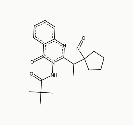 CC(c1nc2ccccc2c(=O)n1NC(=O)C(C)(C)C)C1(N=O)CCCC1